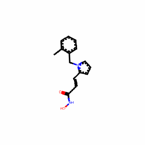 Cc1ccccc1Cn1cccc1C=CC(=O)NO